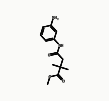 COC(=O)C(C)(C)CC(=O)Nc1cccc(N)c1